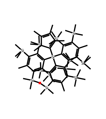 CC1=C(C)C(C)C([Si](c2c([Si](C)(C)C)c([Si](C)(C)C)c(C)c([Si](C)(C)C)c2[Si](C)(C)C)(c2c([Si](C)(C)C)c([Si](C)(C)C)c(C)c([Si](C)(C)C)c2[Si](C)(C)C)c2c([Si](C)(C)C)c([Si](C)(C)C)c(C)c([Si](C)(C)C)c2[Si](C)(C)C)=C1C